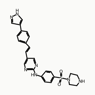 O=S(=O)(c1ccc(Nc2ncc(C=Cc3ccc(-c4cn[nH]c4)cc3)cn2)cc1)N1CCNCC1